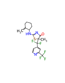 C=C1CCCCC1NC1=NC(=O)C(C)(C(F)(F)c2ccnc(C(F)(F)F)c2)S1